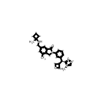 Cn1cnnc1[C@H](c1cccc(N2Cc3c(cc(CNC4(C)CCC4)cc3C(F)(F)F)C2=O)c1)C1COC1